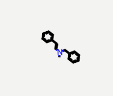 CN(C=Cc1ccccc1)Cc1ccccc1